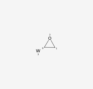 C1CO1.[W]